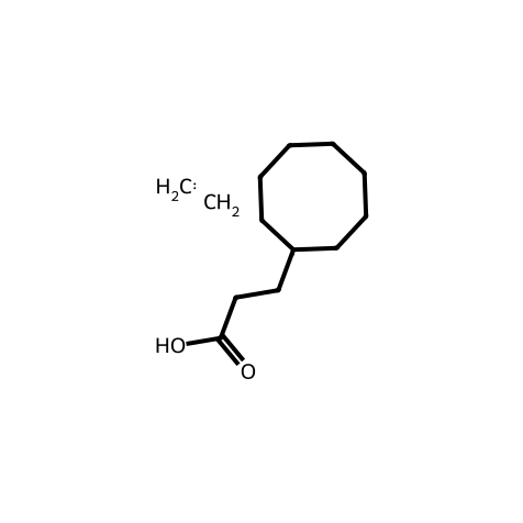 O=C(O)CC[C]1CCCCCCC1.[CH2].[CH2]